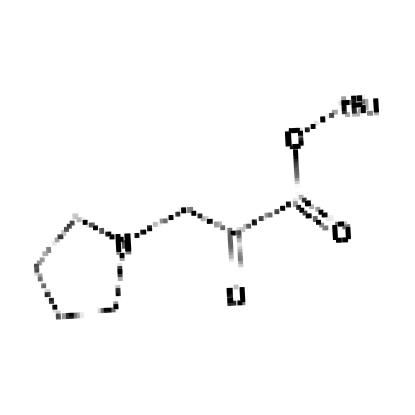 CC(C)(C)OC(=O)C(=O)CN1CCCC1